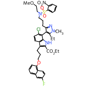 CCOC(=O)c1[nH]c2c(-c3c(CCCN(CCOC)S(=O)(=O)c4ccccc4[N+](=O)[O-])nn(C)c3CC)c(Cl)ccc2c1CCCOc1cccc2cc(F)ccc12